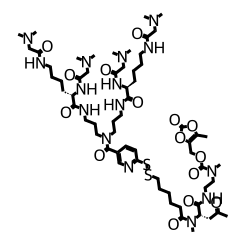 CC(=O)C[C@@H](C(=O)NCCN(C)C(=O)OCc1oc(=O)oc1C)N(C)C(=O)CCCCCSSc1ccc(C(=O)N(CCCNC(=O)[C@H](CCCCNC(=O)CN(C)C)NC(=O)CN(C)C)CCCNC(=O)[C@H](CCCCNC(=O)CN(C)C)NC(=O)CN(C)C)cn1